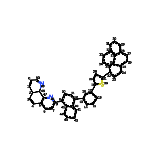 C1=CC2C=Cc3ccc(-c4ccc(-c5cccc(-c6ccc(-c7ccc8ccc9cccc%10ccc7c8c9%10)s6)c5)c5ccccc45)nc3C2N=C1